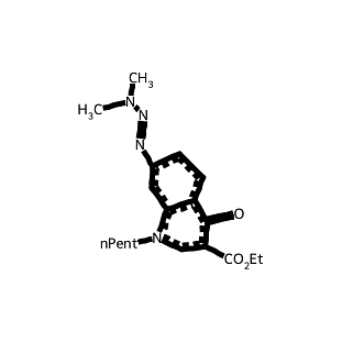 CCCCCn1cc(C(=O)OCC)c(=O)c2ccc(/N=N/N(C)C)cc21